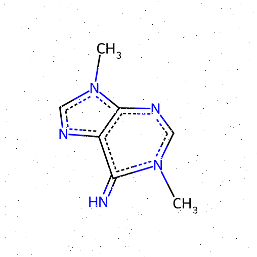 Cn1cnc2c(ncn2C)c1=N